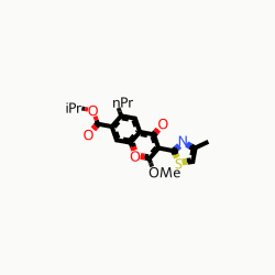 CCCc1cc2c(=O)c(-c3nc(C)cs3)c(OC)oc2cc1C(=O)OC(C)C